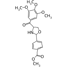 COC(=O)c1ccc(C2NC(C(=O)c3cc(OC)c(OC)c(OC)c3)CO2)cc1